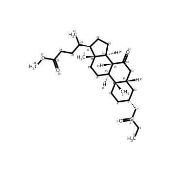 CC[Si](=O)C[C@@H]1CC[C@@]2(C)[C@H](CC(=O)[C@@H]3[C@@H]2CC[C@]2(C)[C@@H](C(C)CCC(=O)OC)CC[C@@H]32)C1